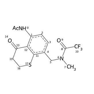 CC(=O)Nc1ccc(CN(C)C(=O)C(F)(F)F)c2c1C(=O)CCS2